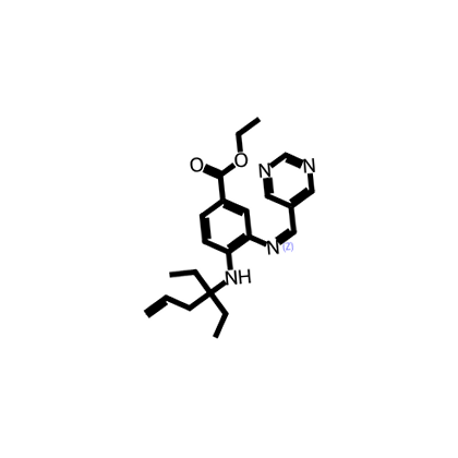 C=CCC(CC)(CC)Nc1ccc(C(=O)OCC)cc1/N=C\c1cncnc1